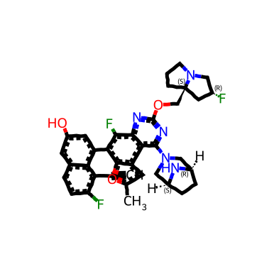 C#Cc1c(F)ccc2cc(O)cc(-c3c(F)c4nc(OC[C@@]56CCCN5C[C@H](F)C6)nc(N5C[C@H]6CC[C@@H](C5)N6)c4c4cc(C)oc34)c12